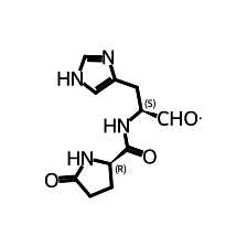 O=[C][C@H](Cc1c[nH]cn1)NC(=O)[C@H]1CCC(=O)N1